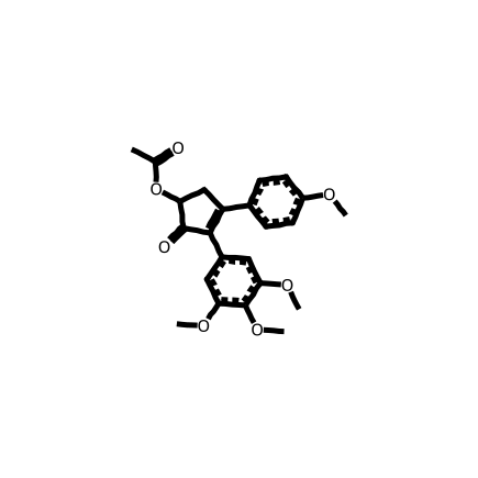 COc1ccc(C2=C(c3cc(OC)c(OC)c(OC)c3)C(=O)C(OC(C)=O)C2)cc1